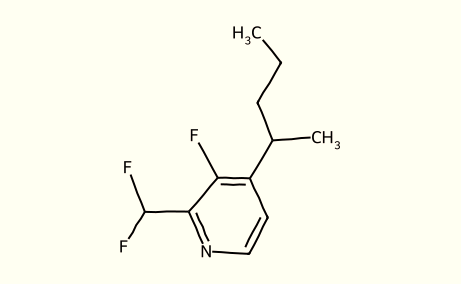 CCCC(C)c1ccnc(C(F)F)c1F